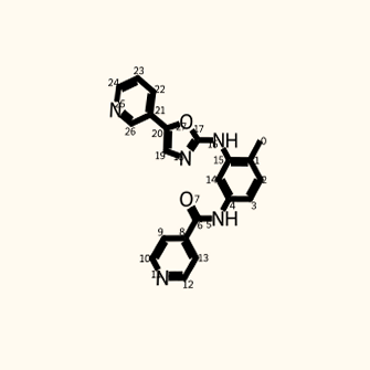 Cc1ccc(NC(=O)c2ccncc2)cc1Nc1ncc(-c2cccnc2)o1